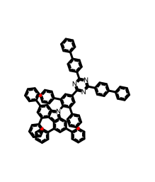 c1ccc(-c2ccc(-c3nc(-c4ccc(-c5ccccc5)cc4)nc(-c4cc(-c5ccccc5)c(-n5c6cc(-c7ccccc7)cc(-c7ccccc7)c6c6c(-c7ccccc7)cc(-c7ccccc7)cc65)c(-c5ccccc5)c4)n3)cc2)cc1